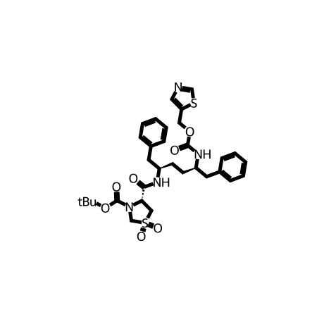 CC(C)(C)OC(=O)N1CS(=O)(=O)C[C@H]1C(=O)N[C@H](CC[C@H](Cc1ccccc1)NC(=O)OCc1cncs1)Cc1ccccc1